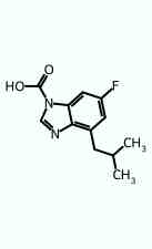 CC(C)Cc1cc(F)cc2c1ncn2C(=O)O